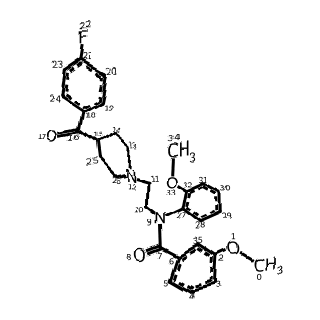 COc1cccc(C(=O)N(CCN2CCC(C(=O)c3ccc(F)cc3)CC2)c2ccccc2OC)c1